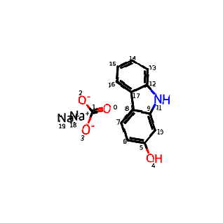 O=C([O-])[O-].Oc1ccc2c(c1)[nH]c1ccccc12.[Na+].[Na+]